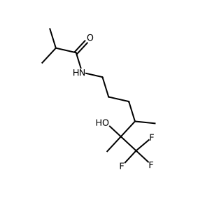 CC(C)C(=O)NCCCC(C)C(C)(O)C(F)(F)F